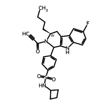 C#CC(=O)N1C(c2ccc(S(=O)(=O)NC3CCC3)cc2)c2[nH]c3ccc(F)cc3c2C[C@@H]1CCCC